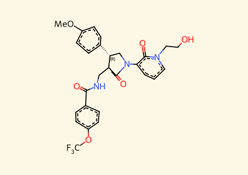 COc1ccc([C@@H]2CN(c3cccn(CCO)c3=O)C(=O)C2CNC(=O)c2ccc(OC(F)(F)F)cc2)cc1